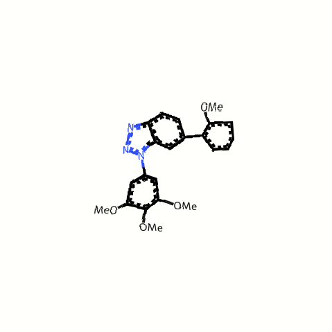 COc1ccccc1-c1ccc2nnn(-c3cc(OC)c(OC)c(OC)c3)c2c1